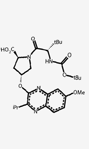 COc1ccc2nc(C(C)C)c(O[C@@H]3C[C@@H](C(=O)O)N(C(=O)[C@@H](NC(=O)OC(C)(C)C)C(C)(C)C)C3)nc2c1